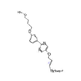 CCCCCCC/C=C/COc1cnc(-c2ccc(OCCCCOCCC)cc2)nc1